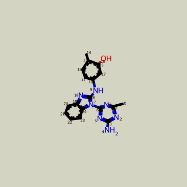 Cc1nc(N)nc(-n2c(Nc3ccc(C)c(O)c3)nc3ccccc32)n1